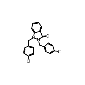 O=c1c2ccccc2n(Cc2ccc(Cl)cc2)n1Cc1ccc(Cl)cc1